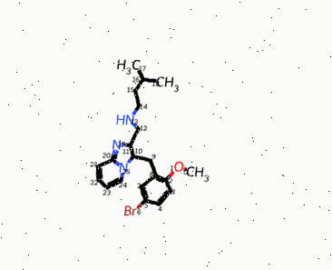 COc1ccc(Br)cc1CC1C(CNCCC(C)C)N=C2C=CC=CN21